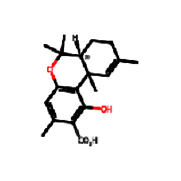 CC1=CC2(C)c3c(cc(C)c(C(=O)O)c3O)OC(C)(C)[C@@H]2CC1